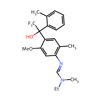 CCN(C)/C=N/c1cc(OC)c(C(O)(c2ccccc2C)C(F)(F)F)cc1C